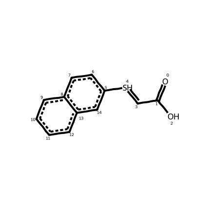 O=C(O)C=[SH]c1ccc2ccccc2c1